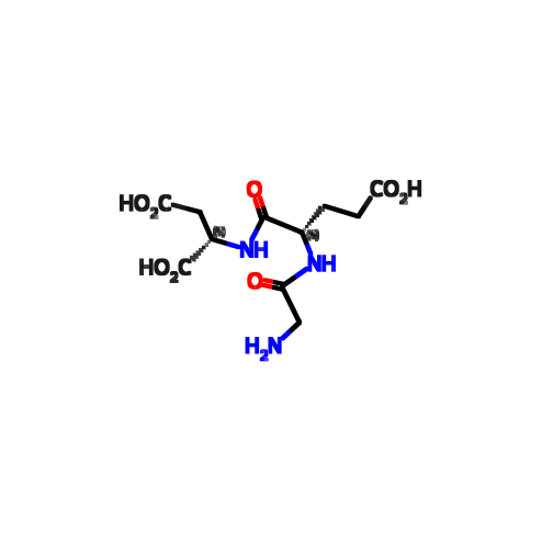 NCC(=O)N[C@@H](CCC(=O)O)C(=O)N[C@@H](CC(=O)O)C(=O)O